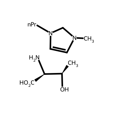 CCCN1C=CN(C)C1.C[C@@H](O)[C@H](N)C(=O)O